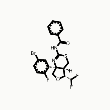 O=C(NC1=N[C@]2(c3cc(Br)ccc3F)CO[C@@H](C(F)F)[C@@H]2CS1)c1ccccc1